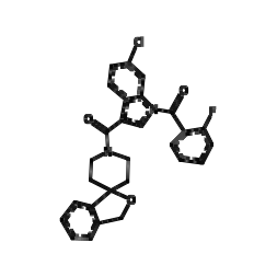 O=C(c1cn(C(=O)c2ccccc2F)c2cc(Cl)ccc12)N1CCC2(CC1)OCc1ccccc12